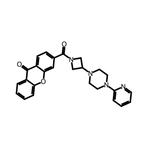 O=C(c1ccc2c(=O)c3ccccc3oc2c1)N1CC(N2CCN(c3ccccn3)CC2)C1